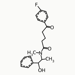 CC(C(O)c1ccccc1)N(C)C(=O)CCCC(=O)c1ccc(F)cc1